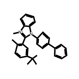 Cc1ccc(C(C)(C)C)cc1-c1n(-c2ccc(-c3ccccc3)cc2)c2ccccc2[n+]1C